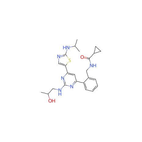 CC(O)CNc1nc(-c2cnc(NC(C)C)s2)cc(-c2ccccc2CNC(=O)C2CC2)n1